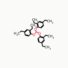 CCc1ccc(OP(Oc2ccc(CC)cc2CC)Oc2ccc(CC)cc2CC)c(CC)c1